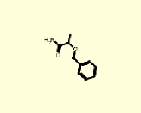 [CH2]C(OCc1ccccc1)C(N)=O